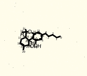 CCCCCc1cc(O)c2c(c1)OC(C)(C)[C@@H]1CC=C(C)[C@H](O)[C@@H]21